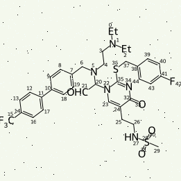 CCN(CC)CCN(Cc1ccc(-c2ccc(C(F)(F)F)cc2)cc1)C(C=O)n1cc(CCNS(C)(=O)=O)c(=O)nc1SCc1ccc(F)cc1